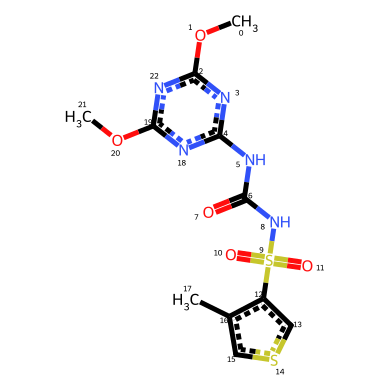 COc1nc(NC(=O)NS(=O)(=O)c2cscc2C)nc(OC)n1